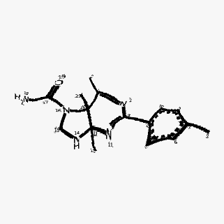 CC1=NC(c2ccc(C)cc2)=NC2(C)NCN(C(N)=O)C12C